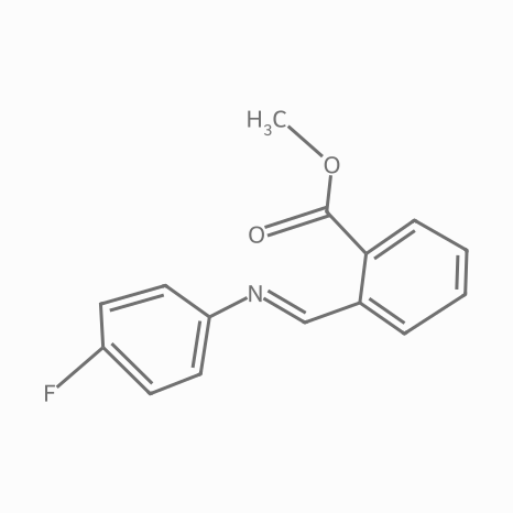 COC(=O)c1ccccc1C=Nc1ccc(F)cc1